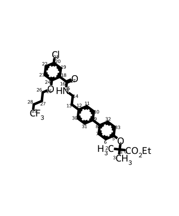 CCOC(=O)C(C)(C)Oc1ccc(-c2ccc(CCNC(=O)c3cc(Cl)ccc3OCCCC(F)(F)F)cc2)cc1